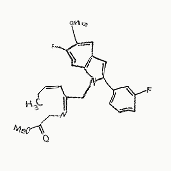 C/C=C\C(Cn1c(-c2cccc(F)c2)cc2cc(OC)c(F)cc21)=N/CC(=O)OC